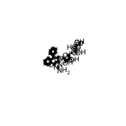 Nc1nc([O-])c2c(n1)n([C@@H]1O[C@H](COP(=O)(O)OP(=O)(O)O)[C@@H](O)[C@H]1O)c[n+]2C(c1ccccc1)c1ccccc1